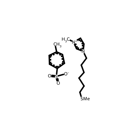 CSCCCCCCn1cc[n+](C)c1.Cc1ccc(S(=O)(=O)[O-])cc1